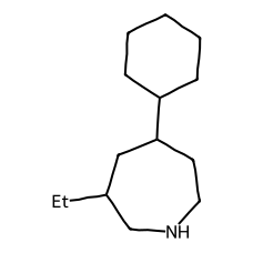 CCC1CNCCC(C2CCCCC2)C1